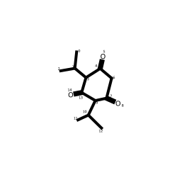 CC(C)C1C(=O)CC(=O)C(C(C)C)C1=O